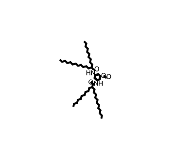 CCCCCCCCCCCCC(CCCCCCCCCC)C(=O)Nc1cc(NC(=O)C(CCCCCCCCCC)CCCCCCCCCCCC)cc(OC=O)c1